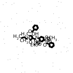 C=C(C)CCN1C(=O)C(C2=NP(=O)(OCC)c3cc(N(C(=O)c4ccccc4)S(C)(=O)=O)ccc3N2)=C(OC(=O)c2ccccc2)C1C